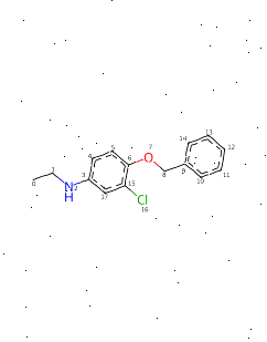 CCNc1ccc(OCc2ccccc2)c(Cl)c1